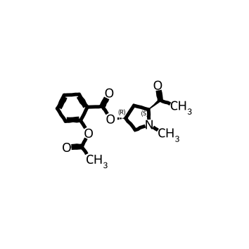 CC(=O)Oc1ccccc1C(=O)O[C@@H]1C[C@@H](C(C)=O)N(C)C1